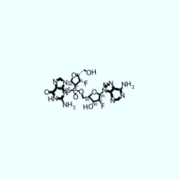 Nc1nc2c(ncn2[C@@H]2O[C@H](CO)[C@H](F)[C@H]2P(=O)(S)OC[C@H]2O[C@@H](n3nnc4c(N)ncnc43)[C@@H](F)[C@@H]2O)c(=O)[nH]1